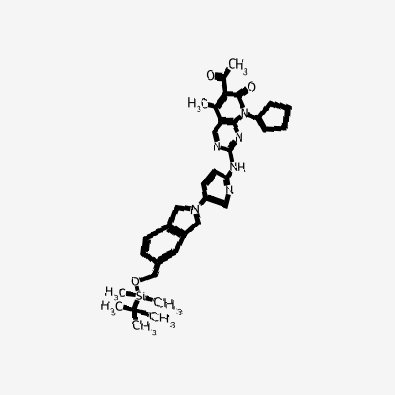 CC(=O)c1c(C)c2cnc(Nc3ccc(N4Cc5ccc(CO[Si](C)(C)C(C)(C)C)cc5C4)cn3)nc2n(C2CCCC2)c1=O